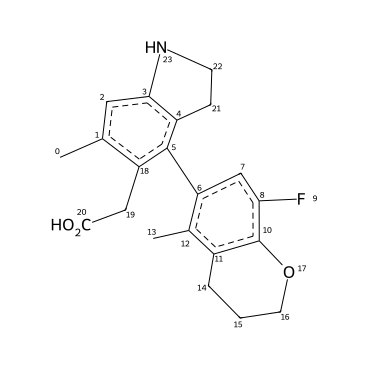 Cc1cc2c(c(-c3cc(F)c4c(c3C)CCCO4)c1CC(=O)O)CCN2